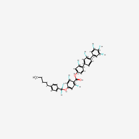 CCCCCc1ccc(C(F)(F)Oc2cc(F)c(C(=O)Oc3ccc(-c4ccc(-c5cc(F)c(F)c(F)c5)c(F)c4)c(F)c3)c(F)c2)cc1